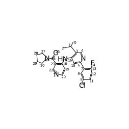 CC(C)c1cnc(-c2cc(Cl)ccc2F)cc1Nc1ccncc1C(=O)N1CCCC1